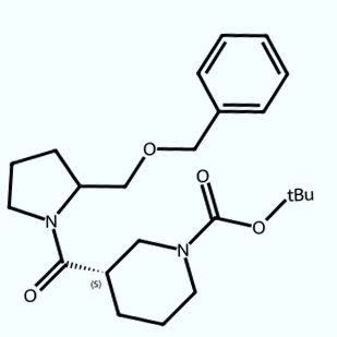 CC(C)(C)OC(=O)N1CCC[C@H](C(=O)N2CCCC2COCc2ccccc2)C1